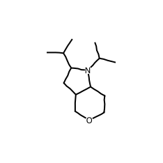 CC(C)C1CC2COCCC2N1C(C)C